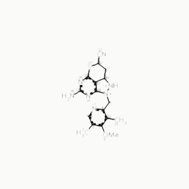 COc1c(C)cnc(CN2NC3CC(C#N)Sc4nc(N)nc2c43)c1C